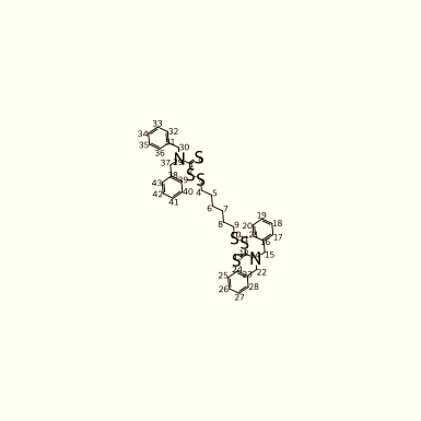 S=C(SSCCCCCCSSC(=S)N(Cc1ccccc1)Cc1ccccc1)N(Cc1ccccc1)Cc1ccccc1